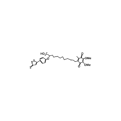 COC1=C(OC)C(=O)C(CCCCCCCCCCC(Oc2ccc(-c3cc(=S)ss3)cc2)C(=O)O)=C(C)C1=O